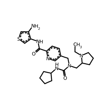 CCN1CCCC1CN(Cc1ccc(C(=O)Nc2cscc2N)nc1)C(=O)NC1CCCC1